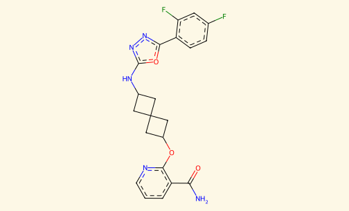 NC(=O)c1cccnc1OC1CC2(CC(Nc3nnc(-c4ccc(F)cc4F)o3)C2)C1